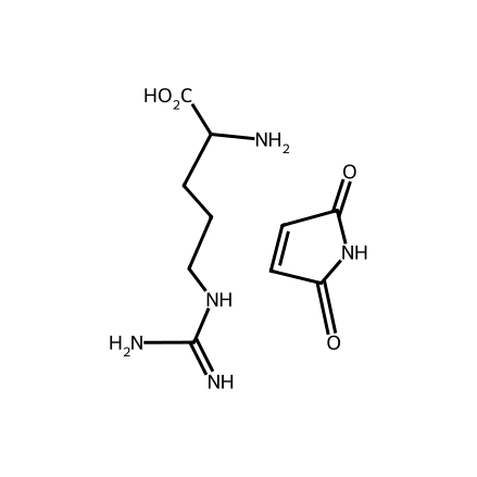 N=C(N)NCCCC(N)C(=O)O.O=C1C=CC(=O)N1